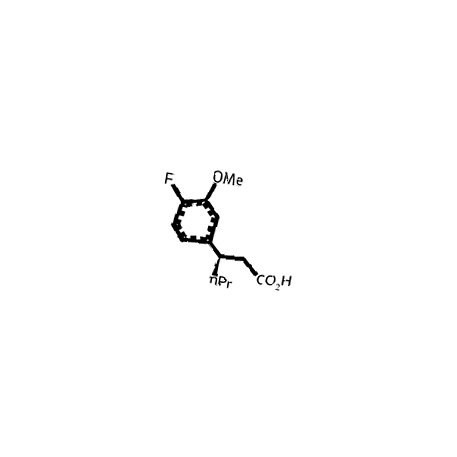 CCC[C@H](CC(=O)O)c1ccc(F)c(OC)c1